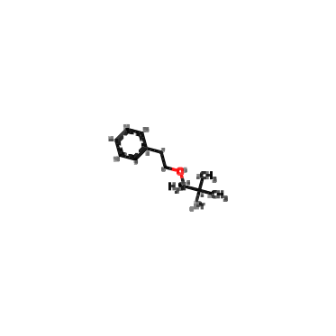 CC(C)C(C)(C)[SiH2]OCCc1ccccc1